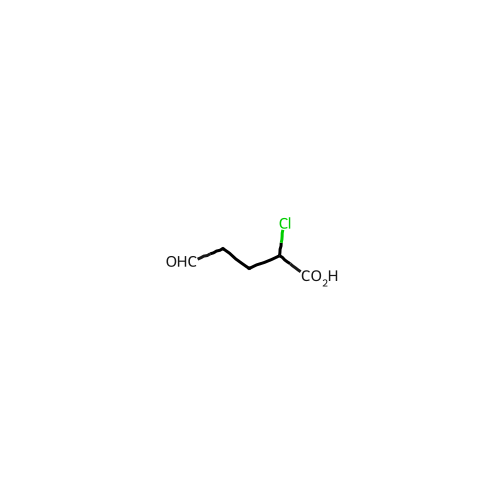 O=CCCC(Cl)C(=O)O